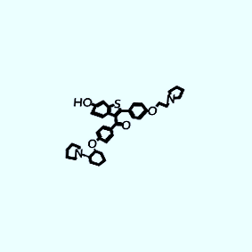 O=C(c1ccc(O[C@@H]2CCCC[C@H]2N2CCCCC2)cc1)c1c(-c2ccc(OCCN3CCCC3)cc2)sc2cc(O)ccc12